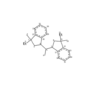 CCC1(C)CC(C(C)C2CC(C)(CC)c3ccccc32)c2ccccc21